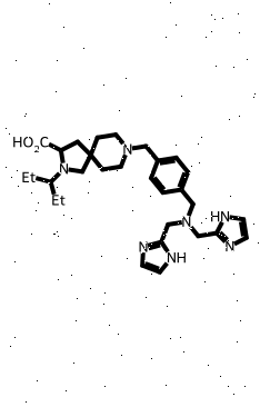 CCC(CC)N1CC2(CCN(Cc3ccc(CN(Cc4ncc[nH]4)Cc4ncc[nH]4)cc3)CC2)CC1C(=O)O